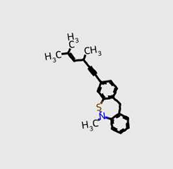 CC(C)=CC(C)C#Cc1ccc2c(c1)SN(C)c1ccccc1C2